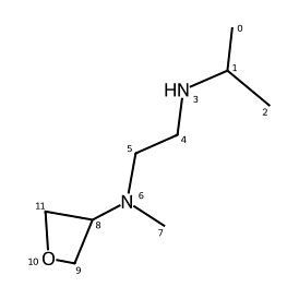 CC(C)NCCN(C)C1COC1